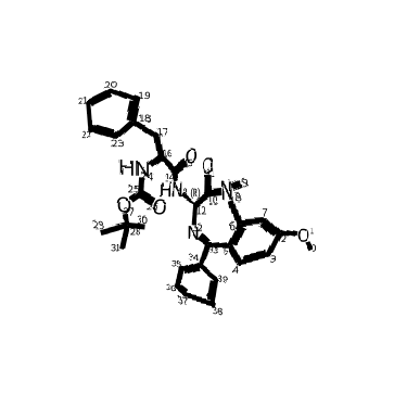 COc1ccc2c(c1)N(C)C(=O)[C@H](NC(=O)C(Cc1ccccc1)NC(=O)OC(C)(C)C)N=C2c1ccccc1